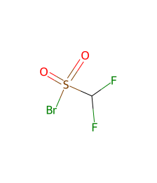 O=S(=O)(Br)C(F)F